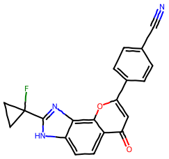 N#Cc1ccc(-c2cc(=O)c3ccc4[nH]c(C5(F)CC5)nc4c3o2)cc1